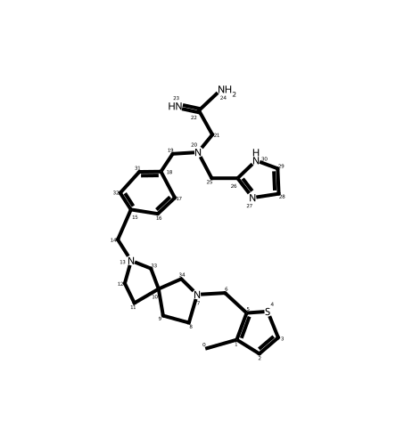 Cc1ccsc1CN1CCC2(CCN(Cc3ccc(CN(CC(=N)N)Cc4ncc[nH]4)cc3)C2)C1